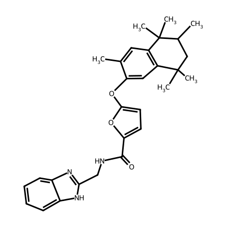 Cc1cc2c(cc1Oc1ccc(C(=O)NCc3nc4ccccc4[nH]3)o1)C(C)(C)CC(C)C2(C)C